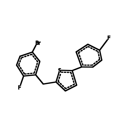 Fc1ccc(-c2ccc(Cc3cc(Br)ccc3F)s2)cc1